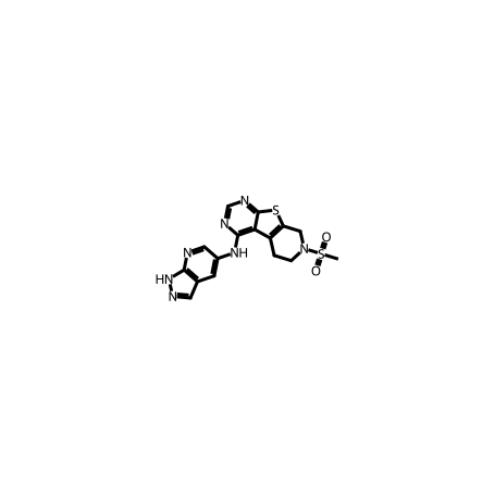 CS(=O)(=O)N1CCc2c(sc3ncnc(Nc4cnc5[nH]ncc5c4)c23)C1